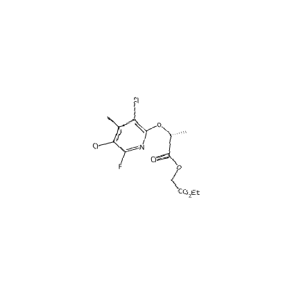 CCOC(=O)COC(=O)[C@@H](C)Oc1nc(F)c(Cl)c(C)c1Cl